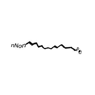 CCCCCCCCCCCCCCCCCCCCCCCP=O